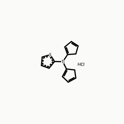 C1=CC[C]([Ti]([C]2=CC=CC2)[c]2cccs2)=C1.Cl